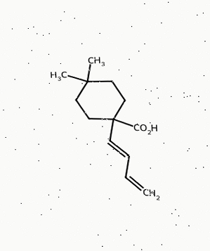 C=C/C=C/C1(C(=O)O)CCC(C)(C)CC1